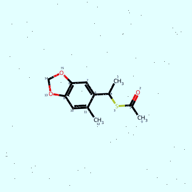 CC(=O)SC(C)c1cc2c(cc1C)OCO2